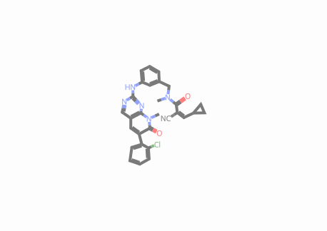 CN(Cc1cccc(Nc2ncc3cc(-c4ccccc4Cl)c(=O)n(C)c3n2)c1)C(=O)/C(C#N)=C\C1CC1